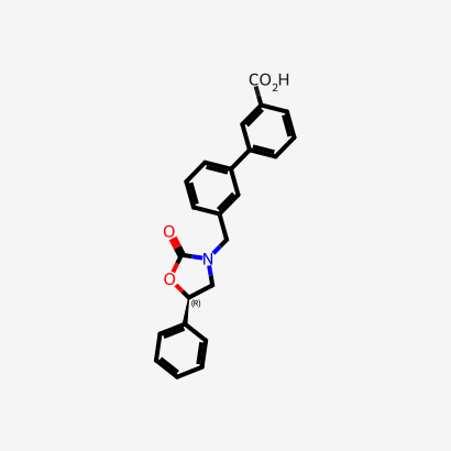 O=C(O)c1cccc(-c2cccc(CN3C[C@@H](c4ccccc4)OC3=O)c2)c1